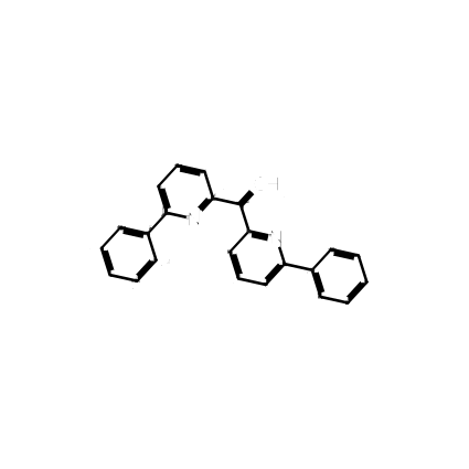 C=C(c1cccc(-c2ccccc2)n1)c1cccc(-c2ccccc2)n1